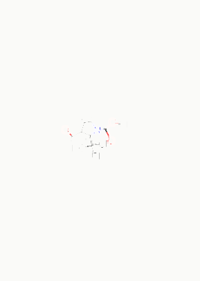 COC(=O)N1CCC(C=O)C1C(C)(C)C